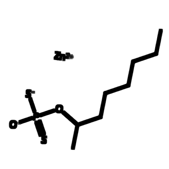 CCCCCCC(C)OP([O-])(=S)[S-].[Zn+2]